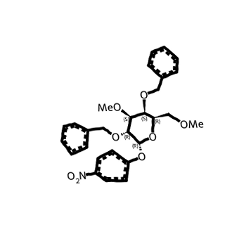 COC[C@H]1O[C@H](Oc2ccc([N+](=O)[O-])cc2)[C@H](OCc2ccccc2)[C@@H](OC)[C@H]1OCc1ccccc1